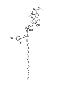 C#C[C@@]1(c2ccc3c(C)ncnn23)O[C@H](COP(=O)(O)OC[C@@H](COCCCCCCCCCCCCCCCC)OCc2ccc(C#N)cc2F)[C@@H](O)[C@H]1O